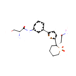 N[C@@H](CO)C(=O)Nc1cccc(-c2ccc([C@@]3(CC(=O)NO)CCCCS3(=O)=O)s2)c1